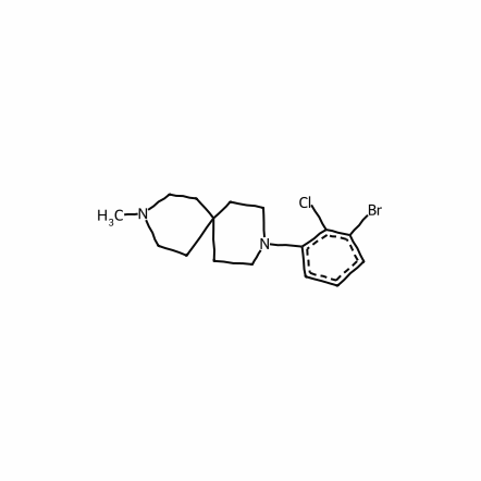 CN1CCC2(CC1)CCN(c1cccc(Br)c1Cl)CC2